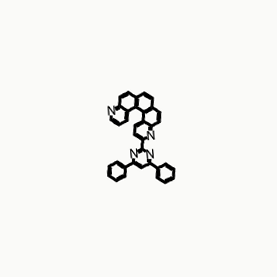 c1ccc(-c2cc(-c3ccccc3)nc(-c3ccc4c(ccc5ccc6ccc7ncccc7c6c54)n3)n2)cc1